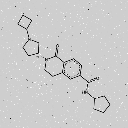 O=C(NC1CCCC1)c1ccc2c(c1)CCN([C@@H]1CCN(C3CCC3)C1)C2=O